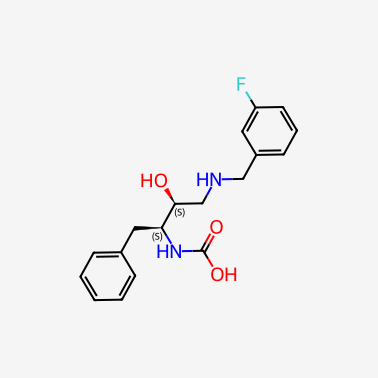 O=C(O)N[C@@H](Cc1ccccc1)[C@@H](O)CNCc1cccc(F)c1